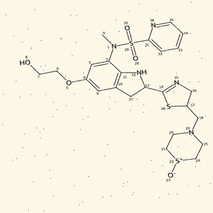 CN(c1cc(OCCO)cc2c1NC(C1=NCC(CN3CC[S+]([O-])CC3)S1)C2)S(=O)(=O)c1ccccn1